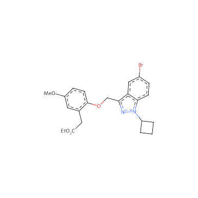 CCOC(=O)Cc1cc(OC)ccc1OCc1nn(C2CCC2)c2ccc(Br)cc12